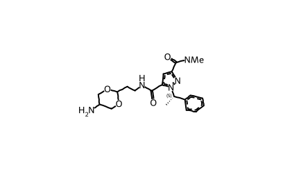 CNC(=O)c1cc(C(=O)NCCC2OCC(N)CO2)n([C@@H](C)c2ccccc2)n1